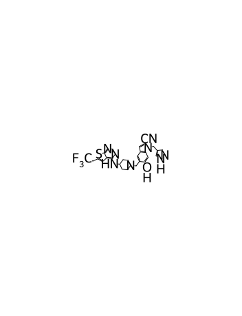 N#Cc1cc2cc(CN3CCC(Nc4ncnc5sc(CC(F)(F)F)cc45)CC3)c(O)cc2n1Cc1cn[nH]c1